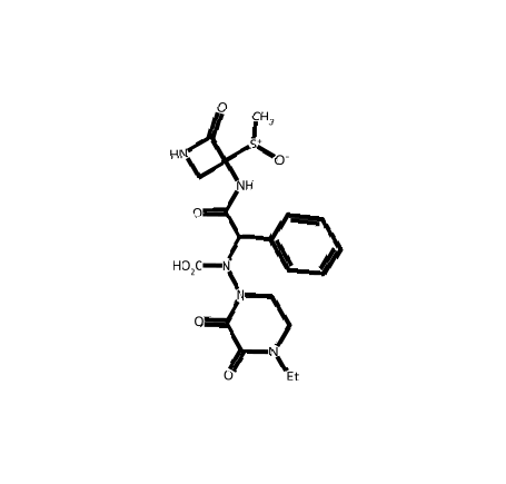 CCN1CCN(N(C(=O)O)C(C(=O)NC2([S+](C)[O-])CNC2=O)c2ccccc2)C(=O)C1=O